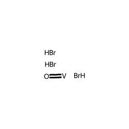 Br.Br.Br.[O]=[V]